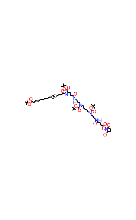 CC(C)(C)OC(=O)CCCCCCCCCCCCCC(=O)NC(CCC(=O)NCCCN(CCCCN(CCCNC(=O)CCC(=O)ON1C(=O)CCC1=O)C(=O)OC(C)(C)C)C(=O)OC(C)(C)C)C(=O)OC(C)(C)C